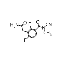 CN(C#N)C(=O)c1ccc(F)c(CC(N)=O)c1F